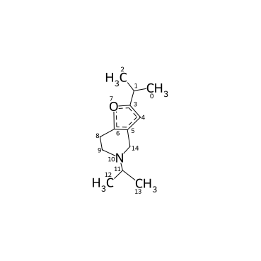 CC(C)c1cc2c(o1)CCN(C(C)C)C2